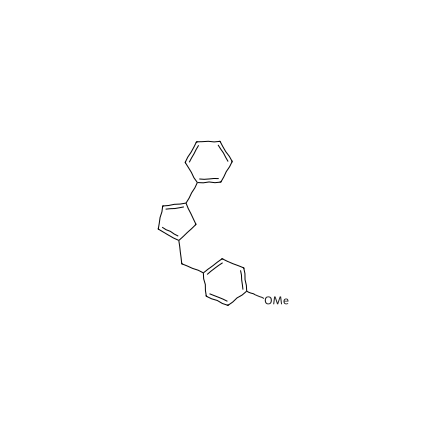 COc1ccc(CC2=CC=C(c3ccccc3)C2)cc1